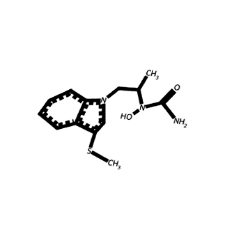 CSc1cn(CC(C)N(O)C(N)=O)c2ccccc12